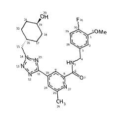 COc1cc(CNC(=O)c2cc(-c3nnn(C[C@H]4CC[C@H](O)CC4)n3)cc(C)n2)ccc1F